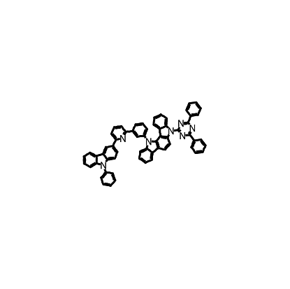 c1ccc(-c2nc(-c3ccccc3)nc(-n3c4ccccc4c4c3ccc3c5ccccc5n(-c5cccc(-c6cccc(-c7ccc8c(c7)c7ccccc7n8-c7ccccc7)n6)c5)c34)n2)cc1